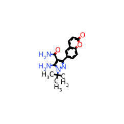 CC(C)(C)n1nc(-c2ccc3oc(=O)ccc3c2)c(C(N)=O)c1N